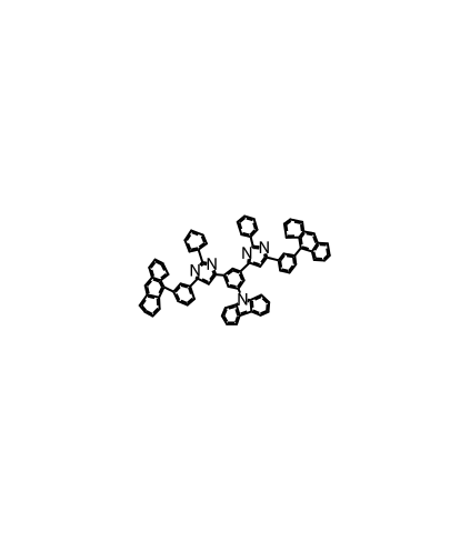 c1ccc(-c2nc(-c3cccc(-c4c5ccccc5cc5ccccc45)c3)cc(-c3cc(-c4cc(-c5cccc(-c6c7ccccc7cc7ccccc67)c5)nc(-c5ccccc5)n4)cc(-n4c5ccccc5c5ccccc54)c3)n2)cc1